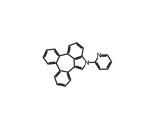 c1ccc(-n2cc3c4c(cccc42)-c2ccccc2-c2ccccc2-3)nc1